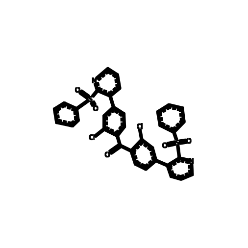 O=C(c1ccc(-c2cccnc2S(=O)(=O)c2ccccc2)cc1Cl)c1ccc(-c2cccnc2S(=O)(=O)c2ccccc2)cc1Cl